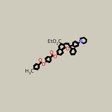 CCOC(=O)c1cc2cc(OC(=O)c3ccc(OC(=O)c4ccc(C)cc4)cc3)ccc2c2c1C=CC(c1ccccc1)(c1ccc(N3CCCCC3)cc1)O2